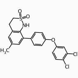 Cc1cc2c(c(-c3ccc(Oc4ccc(Cl)c(Cl)c4)cc3)c1)NS(=O)(=O)CC2